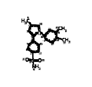 Cc1cc(-c2ccc(S(N)(=O)=O)cc2)n(-c2ccc(C)c(C)c2)c1